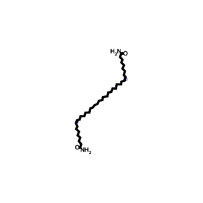 NC(=O)CCCCCCC/C=C\CCCCCCCCCCCCCCCCCCCC/C=C\CCCCCCCC(N)=O